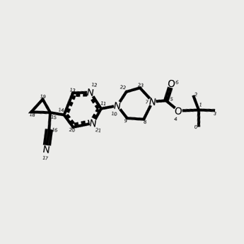 CC(C)(C)OC(=O)N1CCN(c2ncc(C3(C#N)CC3)cn2)CC1